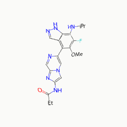 CCC(=O)Nc1cn2cc(-c3c(OC)c(F)c(NC(C)C)c4[nH]ncc34)ncc2n1